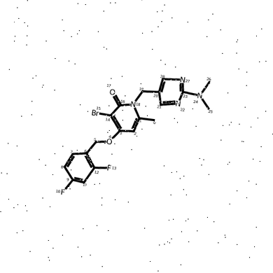 Cc1cc(OCc2ccc(F)cc2F)c(Br)c(=O)n1Cc1cnc(N(C)C)nc1